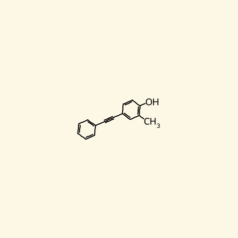 Cc1cc(C#Cc2ccccc2)ccc1O